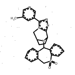 Cc1cncc(-c2nnc3n2CC2CCC3N2C2c3ccccc3CS(=O)(=O)c3ccccc32)c1